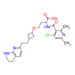 Cc1cc(Cl)c(C(=O)NC(CCOC2CC(CCc3ccc4c(n3)NCCC4)C2)C(=O)O)c(C)n1